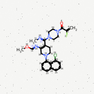 C=C(F)C(=O)N1CCN(/C(=N/C)C2=C(/N=C/OC)CN(c3cccc4cccc(Cl)c34)CC2)CC1